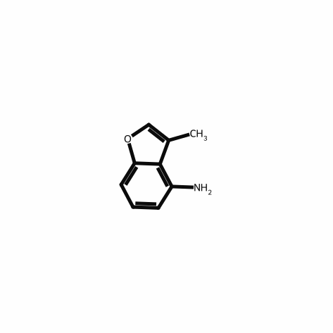 Cc1coc2cccc(N)c12